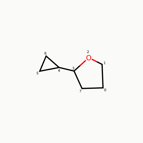 C1COC(C2CC2)C1